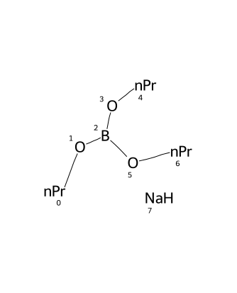 CCCOB(OCCC)OCCC.[NaH]